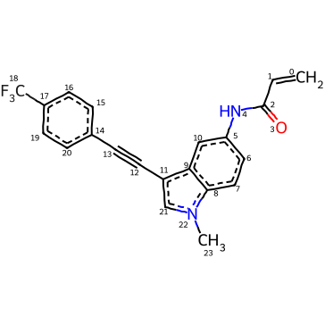 C=CC(=O)Nc1ccc2c(c1)c(C#Cc1ccc(C(F)(F)F)cc1)cn2C